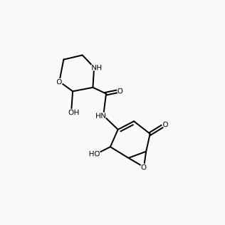 O=C(NC1=CC(=O)C2OC2C1O)C1NCCOC1O